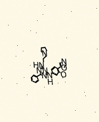 COc1cc(Nc2nc(NCCCN3CCCC3)nc(-c3ccccc3)n2)ccc1-c1cnco1